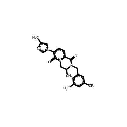 Cc1cc(CN2C(=O)c3ccc(-n4cnc(C)c4)c(=O)n3CC2C)cc(C(F)(F)F)c1